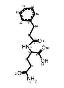 NC(=O)CCC(NC(=O)CCc1ccccc1)C(=O)O